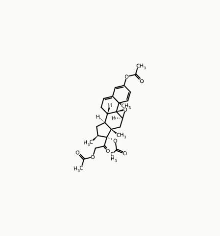 CC(=O)OCC(=O)[C@@]1(OC(C)=O)[C@@H](C)C[C@H]2[C@@H]3CC=C4C=C(OC(C)=O)C=C[C@]4(C)[C@@]34O[C@H]4C[C@@]21C